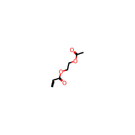 C=CC(=O)OCCOC(C)=O